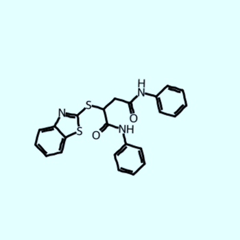 O=C(CC(Sc1nc2ccccc2s1)C(=O)Nc1ccccc1)Nc1ccccc1